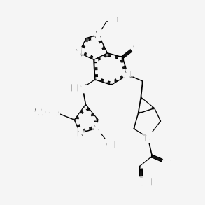 C=CC(=O)N1CC2C(C1)C2Cn1cc(Nc2cn(C)nc2OC)c2ncn(C(C)C)c2c1=O